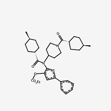 CCOC(=O)Oc1cc(-c2ccccc2)sc1N(C(=O)[C@H]1CC[C@H](C)CC1)C1CCN(C(=O)[C@H]2CC[C@H](C)CC2)CC1